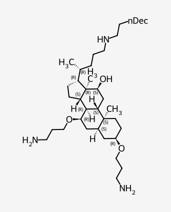 CCCCCCCCCCCCNCCC[C@@H](C)[C@H]1CC[C@H]2[C@@H]3[C@H](OCCCN)C[C@@H]4C[C@H](OCCCN)CC[C@]4(C)[C@H]3C[C@H](O)[C@]12C